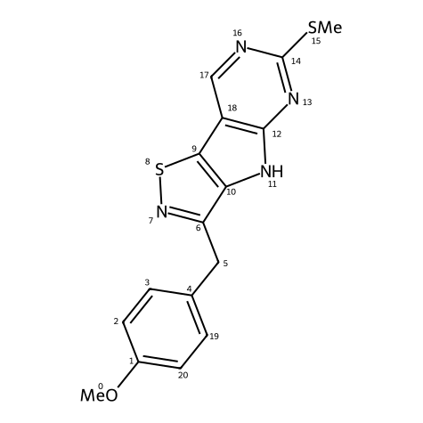 COc1ccc(Cc2nsc3c2[nH]c2nc(SC)ncc23)cc1